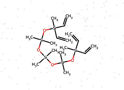 C=C[Si](C)(C=C)O[Si](C)(C)O[Si](C)(C)O[Si](C)(C)O[Si](C)(C=C)C=C